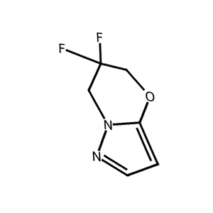 FC1(F)COc2ccnn2C1